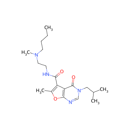 CCCCN(C)CCNC(=O)c1c(C)oc2ncn(CC(C)C)c(=O)c12